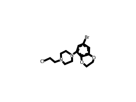 ClCCN1CCN(c2cc(Br)cc3c2OCCO3)CC1